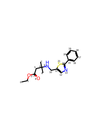 CCOC(=O)CC(C)(C)NCc1cnc(-c2ccccc2)s1